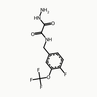 NNC(=O)C(=O)NCc1ccc(F)c(OC(F)(F)F)c1